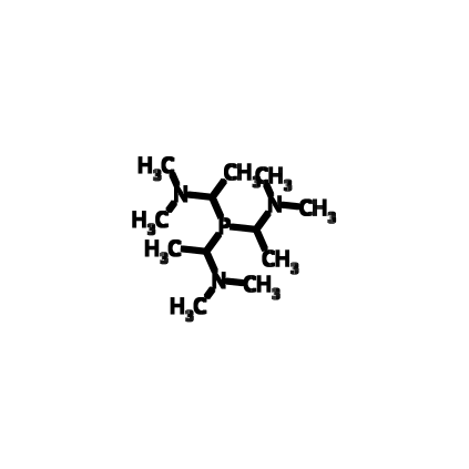 CC(N(C)C)P(C(C)N(C)C)C(C)N(C)C